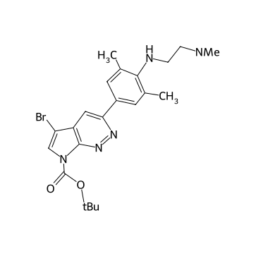 CNCCNc1c(C)cc(-c2cc3c(Br)cn(C(=O)OC(C)(C)C)c3nn2)cc1C